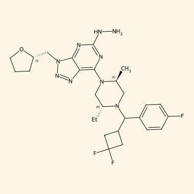 CC[C@@H]1CN(c2nc(NN)nc3c2nnn3C[C@@H]2CCCO2)[C@@H](C)CN1C(c1ccc(F)cc1)C1CC(F)(F)C1